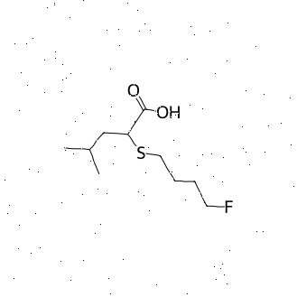 CC(C)CC(SCCCCF)C(=O)O